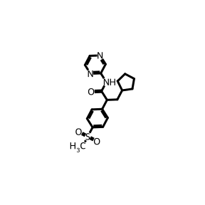 CS(=O)(=O)c1ccc(C(CC2CCCC2)C(=O)Nc2cnccn2)cc1